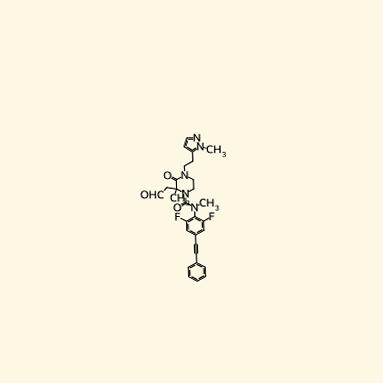 CN(C(=O)N1CCN(CCc2ccnn2C)C(=O)C1(C)CC=O)c1c(F)cc(C#Cc2ccccc2)cc1F